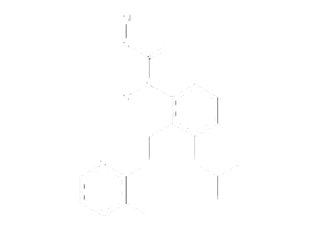 Cc1cccnc1OCc1c(OC(F)F)cccc1N(N)C(=O)NN